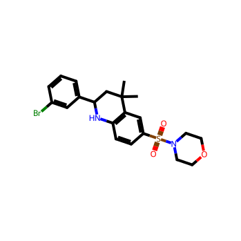 CC1(C)CC(c2cccc(Br)c2)Nc2ccc(S(=O)(=O)N3CCOCC3)cc21